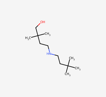 CC(C)(C)CCNCCC(C)(C)CO